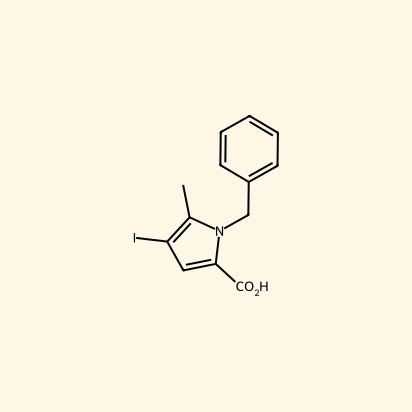 Cc1c(I)cc(C(=O)O)n1Cc1ccccc1